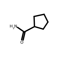 NC(=O)[C]1CCCC1